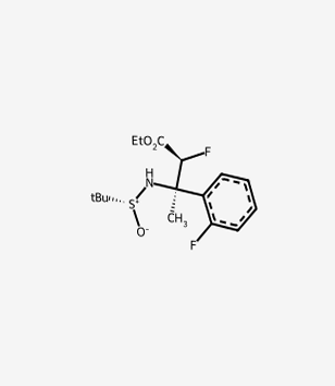 CCOC(=O)[C@@H](F)[C@](C)(N[S@+]([O-])C(C)(C)C)c1ccccc1F